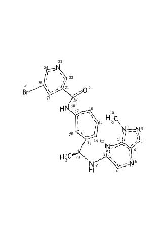 C[C@H](Nc1cnc2cnn(C)c2n1)c1cccc(NC(=O)c2cncc(Br)c2)c1